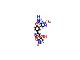 COc1ncc(-c2cccc(-c3cc([C@]4(O)CCN(C)C4=O)on3)c2)c(C(N)=O)n1